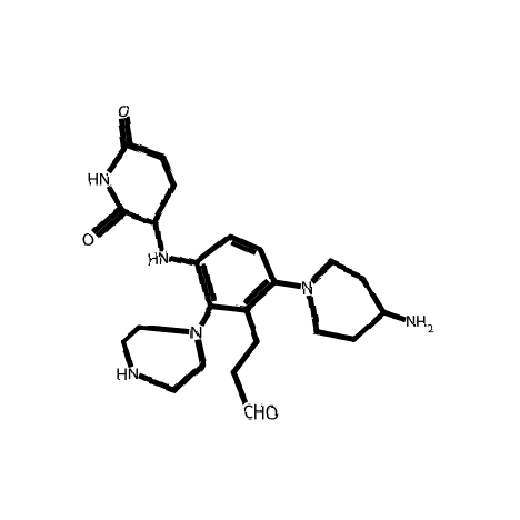 NC1CCN(c2ccc(NC3CCC(=O)NC3=O)c(N3CCNCC3)c2CCC=O)CC1